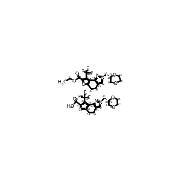 CCOC(=O)c1oc2c(c1C(F)(F)F)-c1nn(C[C@H]3COCCO3)cc1CC2.O=C(O)c1oc2c(c1C(F)(F)F)-c1nn(C[C@H]3COCCO3)cc1CC2